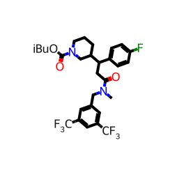 CC(C)COC(=O)N1CCCC(C(CC(=O)N(C)Cc2cc(C(F)(F)F)cc(C(F)(F)F)c2)c2ccc(F)cc2)C1